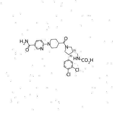 NC(=O)c1ccc(N2CCC(C(=O)N3C[C@H](CNC(=O)O)[C@H](c4ccc(Cl)c(Cl)c4)C3)CC2)nc1